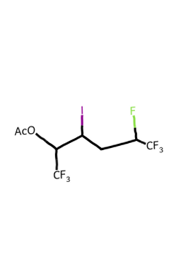 CC(=O)OC(C(I)CC(F)C(F)(F)F)C(F)(F)F